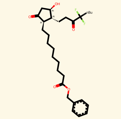 CCCCC(F)(F)C(=O)CC[C@H]1[C@H](O)CC(=O)[C@@H]1CCCCCCCCC(=O)OCc1ccccc1